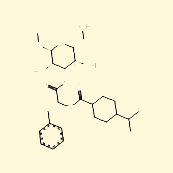 CO[C@H]1O[C@H](CO)[C@@H](O)[C@H](OC(=O)[C@@H](Cc2ccccc2)NC(=O)C2CCC(C(C)C)CC2)[C@H]1O